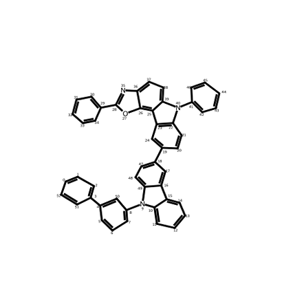 c1ccc(-c2cccc(-n3c4ccccc4c4cc(-c5ccc6c(c5)c5c7oc(-c8ccccc8)nc7ccc5n6-c5ccccc5)ccc43)c2)cc1